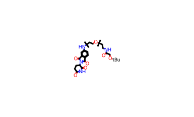 CC(C)(CCOC(C)(C)CCNC(=O)COC(C)(C)C)Nc1ccc2c(c1)C(=O)N(C1CCC(=O)NC1=O)C2=O